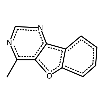 Cc1ncnc2c1oc1ccccc12